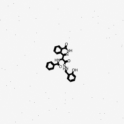 O=C(NC(C(=O)N/N=C/c1ccccc1O)c1n[nH]c(=O)c2ccccc12)c1ccccc1